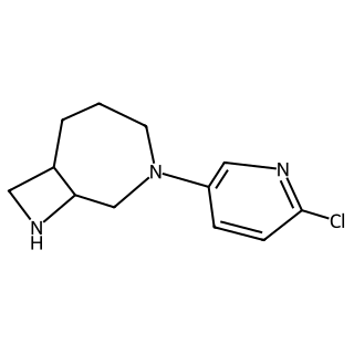 Clc1ccc(N2CCCC3CNC3C2)cn1